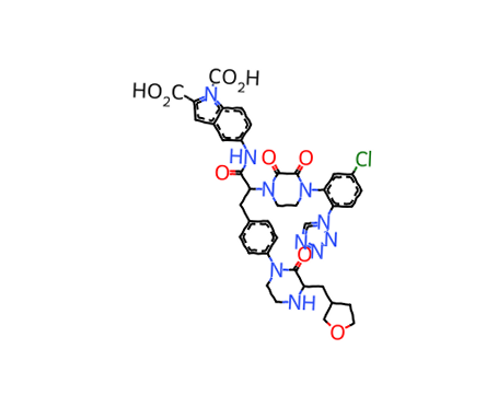 O=C(O)c1cc2cc(NC(=O)C(Cc3ccc(N4CCNC(CC5CCOC5)C4=O)cc3)N3CCN(c4cc(Cl)ccc4-n4cnnn4)C(=O)C3=O)ccc2n1C(=O)O